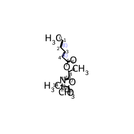 C/C=C/C=C/C(=O)OC(C)C1=NC(C)(C)C(=O)O1